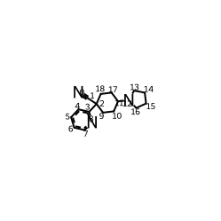 N#CC1(c2ccccn2)CCC(N2CCCC2)CC1